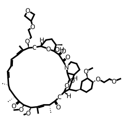 COCCO[C@@H]1CC[C@@H](CC2[C@H]3CCCN4C(=O)C(=O)[C@]5(O)O[C@@H](CC[C@H]5C)C[C@H](OCCOC5COC5)/C(C)=C/C=C/C=C/[C@@H](C)C[C@@H](C)C(=O)[C@H](OC)[C@H](OC)/C(C)=C/[C@@H](C)C(=O)C[C@@H]2OC(=O)C34)C[C@H]1OC